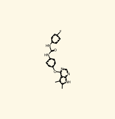 Cc1[nH]c2ncnc(Oc3ccc(NC(=O)Nc4ccc(F)cc4)cc3)c2c1C